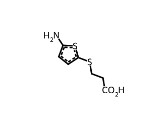 Nc1ccc(SCCC(=O)O)s1